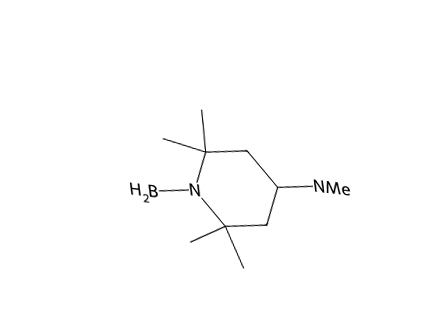 BN1C(C)(C)CC(NC)CC1(C)C